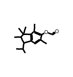 Cc1cc2c(c(C)c1OC=O)C(C)(C)C(C)C2C(C)C